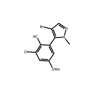 COc1cc(Cl)c(C#N)c(-c2c(Br)cnn2C)c1